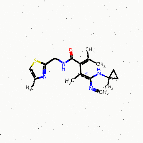 C=N/C(NC1(C)CC1)=C(\C)C(C(=O)NCc1nc(C)cs1)=C(C)C